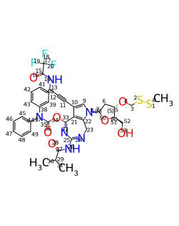 CSSCO[C@H]1C[C@H](n2cc(C#CCNC(=O)C(F)(F)F)c3c2CN=C(NC(=O)C(C)C)N=C3OC(=O)N(c2ccccc2)c2ccccc2)O[C@@H]1CO